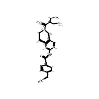 CCc1ccc(C(=O)Nc2ncc3c(n2)CCN(C(=O)C(CC)CC)C3)cc1